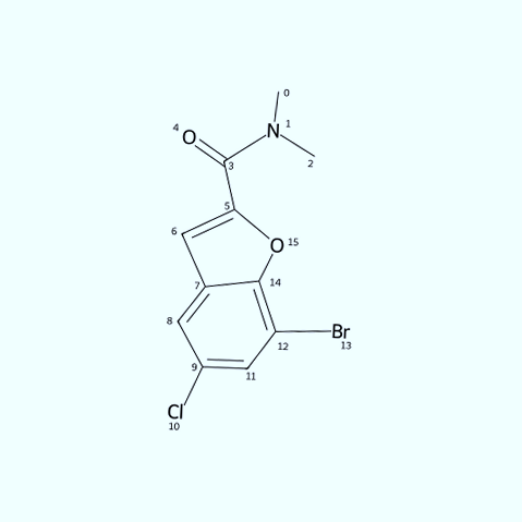 CN(C)C(=O)c1cc2cc(Cl)cc(Br)c2o1